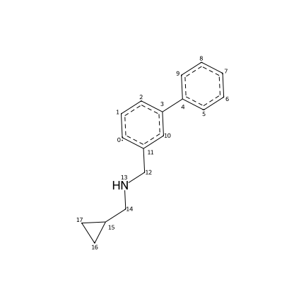 [c]1ccc(-c2ccccc2)cc1CNCC1CC1